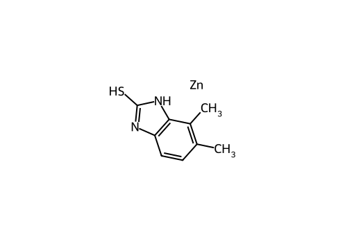 Cc1ccc2nc(S)[nH]c2c1C.[Zn]